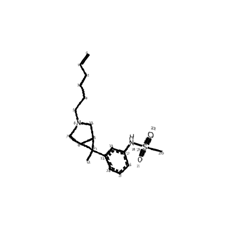 C=CCCCCN1CC2C(C1)C2(C)c1cccc(NS(C)(=O)=O)c1